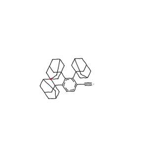 [C]#Cc1ccc(C23CC4CC(CC(C4)C2)C3)c(C23CC4CC(CC(C4)C2)C3)c1C12CC3CC(CC(C3)C1)C2